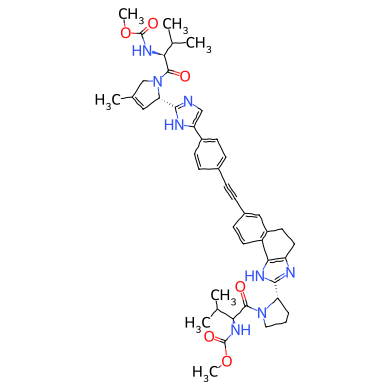 COC(=O)N[C@H](C(=O)N1CC(C)=C[C@H]1c1ncc(-c2ccc(C#Cc3ccc4c(c3)CCc3nc([C@@H]5CCCN5C(=O)[C@@H](NC(=O)OC)C(C)C)[nH]c3-4)cc2)[nH]1)C(C)C